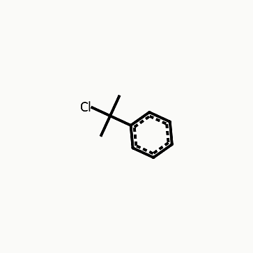 CC(C)(Cl)c1ccccc1